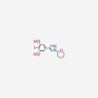 Oc1cc(-c2cnn(C3CCCCO3)c2)cc(O)c1I